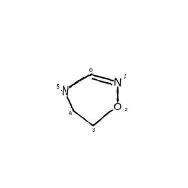 C1=NOCC[N]1